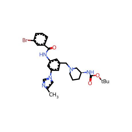 Cc1cn(-c2cc(CN3CCC[C@H](NC(=O)OC(C)(C)C)C3)cc(NC(=O)c3cccc(Br)c3)c2)cn1